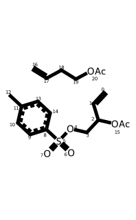 C=CC(COS(=O)(=O)c1ccc(C)cc1)OC(C)=O.C=CCCOC(C)=O